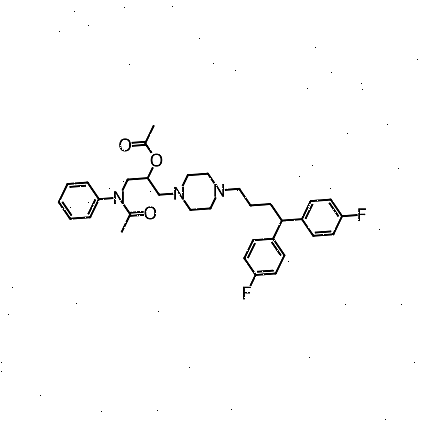 CC(=O)OC(CN1CCN(CCCC(c2ccc(F)cc2)c2ccc(F)cc2)CC1)CN(C(C)=O)c1ccccc1